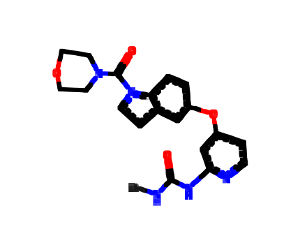 CCNC(=O)Nc1cc(Oc2ccc3c(ccn3C(=O)N3CCOCC3)c2)ccn1